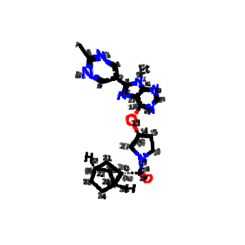 CCn1c(-c2cnc(C)nc2)nc2c(O[C@H]3CCN(C(=O)[C@H]4C[C@@H]5CC[C@@H]4C5)C3)ncnc21